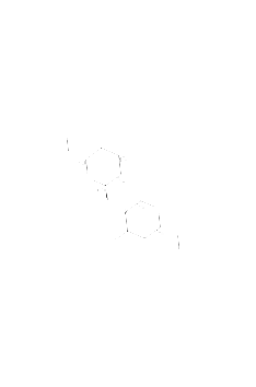 C[C@H]1O[C@H](CO)C[C@H](O)[C@@H]1O[C@H]1CC(O)C[C@@H](CO)O1